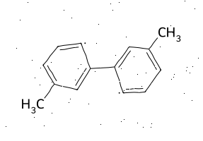 Cc1cc[c]c(-c2[c]ccc(C)c2)c1